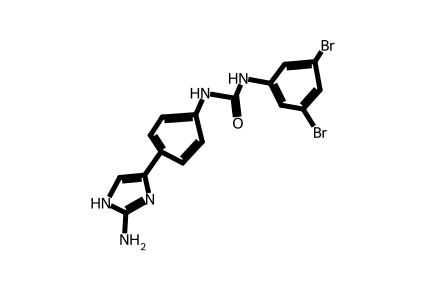 Nc1nc(-c2ccc(NC(=O)Nc3cc(Br)cc(Br)c3)cc2)c[nH]1